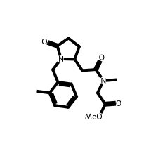 COC(=O)CN(C)C(=O)CC1CCC(=O)N1Cc1ccccc1C